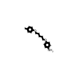 Cc1ccc(OCCCCCOc2ccc(N)cc2)cc1